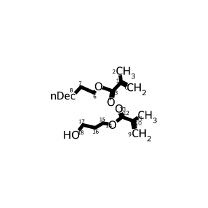 C=C(C)C(=O)OCCCCCCCCCCCC.C=C(C)C(=O)OCCCO